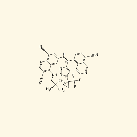 CC(C)(C)CNc1c(C#N)cnc2c(C#N)cc(N[C@H](c3cn(C4(C(F)(F)F)CC4)nn3)c3ccc(C#N)c4cnccc34)cc12